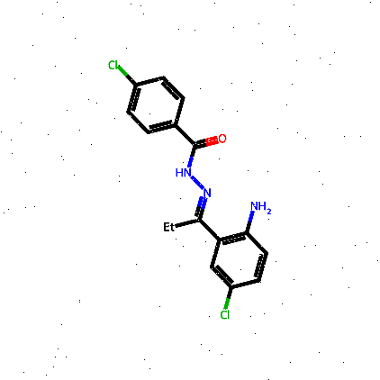 CC/C(=N\NC(=O)c1ccc(Cl)cc1)c1cc(Cl)ccc1N